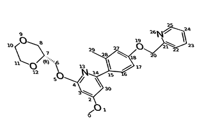 COc1cc(OC[C@H]2COCCO2)nc(-c2ccc(OCc3ccccn3)cc2C)c1